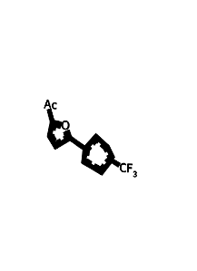 CC(=O)c1ccc(-c2ccc(C(F)(F)F)cc2)o1